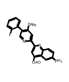 COc1cc(-c2cc(C=O)c3cc(P)ccc3n2)ncc1-c1ccccc1F